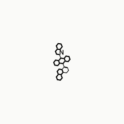 C1=C(c2c3ccccc3c(-c3ccc4ccccc4n3)c3ccccc23)c2ccc3ccccc3c2CC1